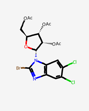 CC(=O)OC[C@@H]1O[C@@H](n2c(Br)nc3cc(Cl)c(Cl)cc32)[C@@H](OC(C)=O)[C@H]1OC(C)=O